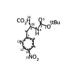 CC(C)(C)OC(=O)N[C@@H](Cc1ccc([N+](=O)[O-])cn1)C(=O)O